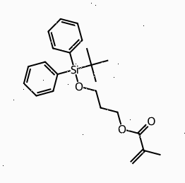 C=C(C)C(=O)OCCCO[Si](c1ccccc1)(c1ccccc1)C(C)(C)C